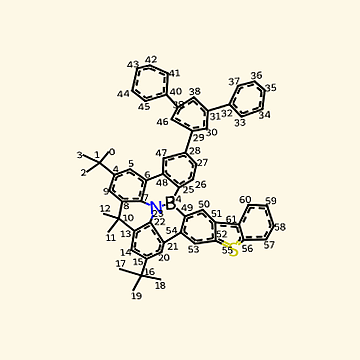 CC(C)(C)c1cc2c3c(c1)C(C)(C)c1cc(C(C)(C)C)cc4c1N3B(c1ccc(-c3cc(-c5ccccc5)cc(-c5ccccc5)c3)cc1-2)c1cc2c(cc1-4)sc1ccccc12